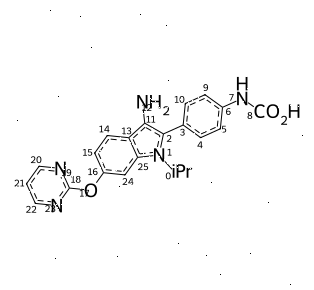 CC(C)n1c(-c2ccc(NC(=O)O)cc2)c(N)c2ccc(Oc3ncccn3)cc21